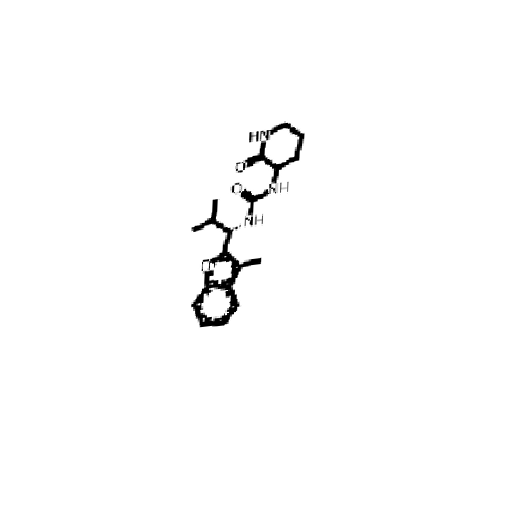 Cc1c([C@@H](NC(=O)NC2CCCNC2=O)C(C)C)oc2ccccc12